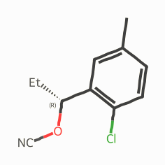 CC[C@@H](OC#N)c1cc(C)ccc1Cl